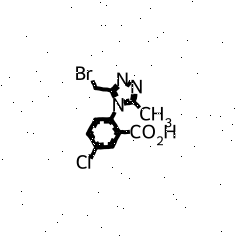 Cc1nnc(CBr)n1-c1ccc(Cl)cc1C(=O)O